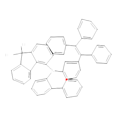 CC1(C)c2ccccc2-c2c(N(c3cccc(C(=C(c4ccccc4)c4ccccc4)c4ccccc4)c3)c3ccccc3-c3ccccc3)cccc21